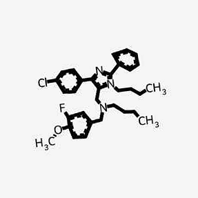 CCCCN(Cc1ccc(OC)c(F)c1)Cc1c(-c2ccc(Cl)cc2)nc(-c2ccccc2)n1CCCC